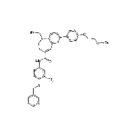 CCCCOCCOc1ccc(-c2ccc3c(c2)C=C(C(=O)Nc2ccc(SCc4cccnc4)c(C(F)(F)F)c2)CCN3CC(C)C)cc1